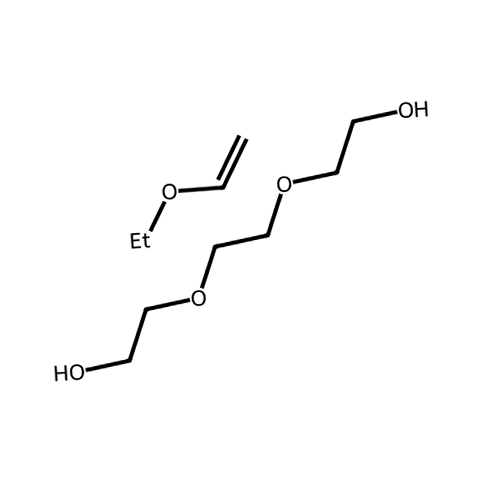 C=COCC.OCCOCCOCCO